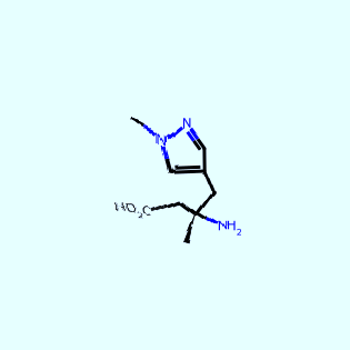 Cn1cc(C[C@](C)(N)CC(=O)O)cn1